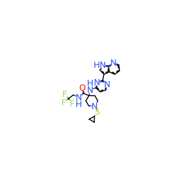 O=C(NCC(F)(F)F)C1(Nc2ccnc(-c3c[nH]c4ncccc34)n2)CCN(SC2CC2)CC1